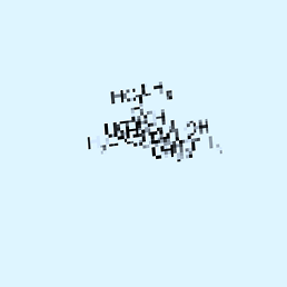 CCC(C)(OCC(C)O)C(C)(CCC(C)(C)OCC(C)O)COCC(C)O